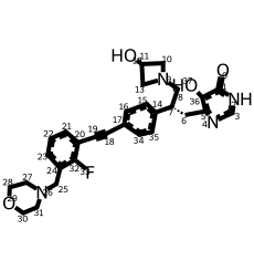 O=c1[nH]cnc(C[C@@H](CN2CC(O)C2)c2ccc(C#Cc3cccc(CN4CCOCC4)c3F)cc2)c1O